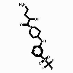 NCCC(O)C(=O)N1CCC(Nc2cccc(S(=O)(=O)C(F)(F)F)c2)CC1